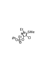 CCn1nc(OP(=O)(CC)OC(C)C)c(Cl)c1SC